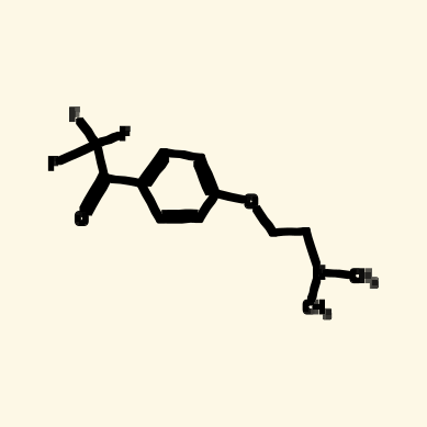 CN(C)CCOc1ccc(C(=O)C(F)(F)F)cc1